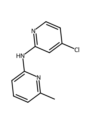 Cc1cccc(Nc2cc(Cl)ccn2)n1